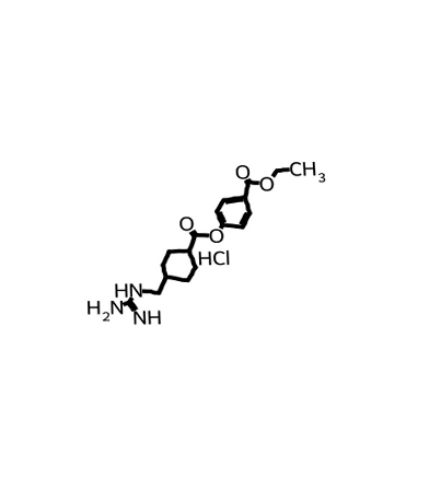 CCOC(=O)c1ccc(OC(=O)C2CCC(CNC(=N)N)CC2)cc1.Cl